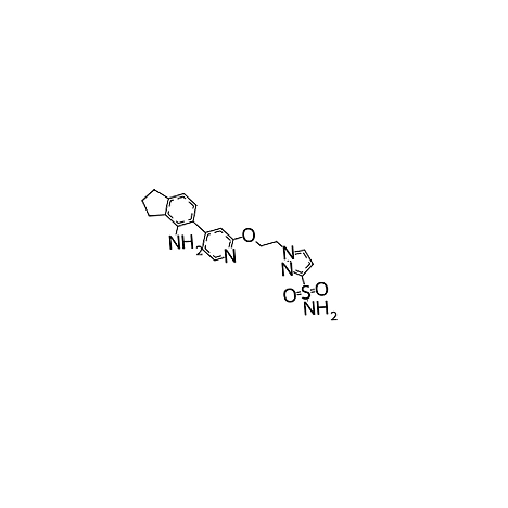 Nc1c(-c2ccnc(OCCn3ccc(S(N)(=O)=O)n3)c2)ccc2c1CCC2